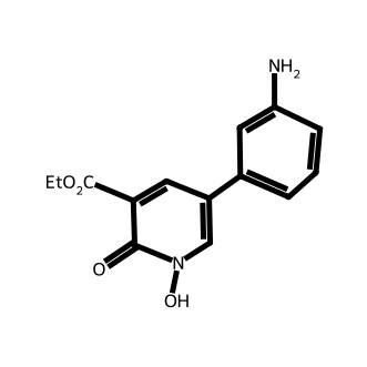 CCOC(=O)c1cc(-c2cccc(N)c2)cn(O)c1=O